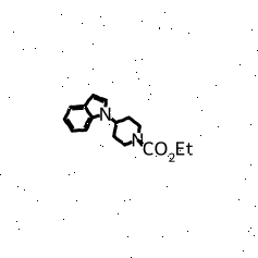 CCOC(=O)N1CCC(n2ccc3ccccc32)CC1